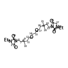 CCN1CC(=O)N(CCC(C)(C)CCOCCOCCC(C)(C)CCN2C(=O)CN(CC)C2=O)C1=O